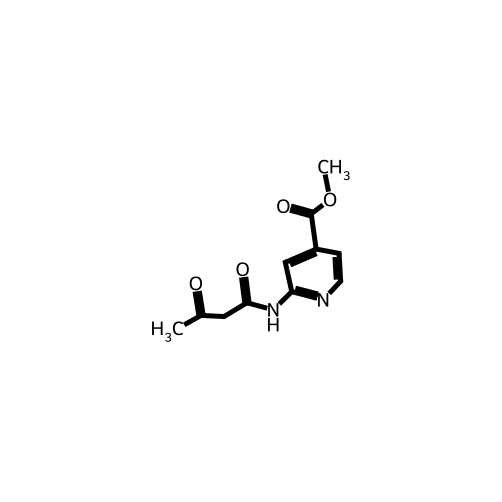 COC(=O)c1ccnc(NC(=O)CC(C)=O)c1